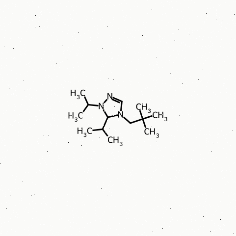 CC(C)C1N(CC(C)(C)C)C=NN1C(C)C